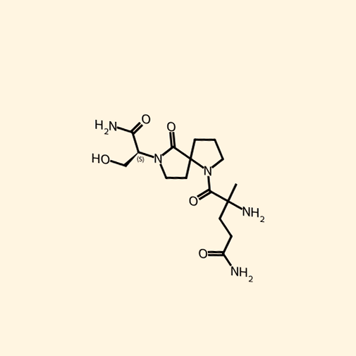 CC(N)(CCC(N)=O)C(=O)N1CCCC12CCN([C@@H](CO)C(N)=O)C2=O